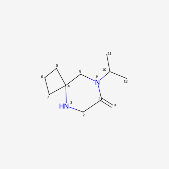 C=C1CNC2(CCC2)CN1C(C)C